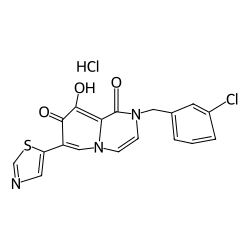 Cl.O=c1c(-c2cncs2)cn2ccn(Cc3cccc(Cl)c3)c(=O)c2c1O